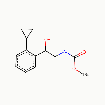 CC(C)(C)OC(=O)NCC(O)c1ccccc1C1CC1